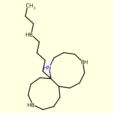 CCCBCCCCC12CCCBCCCC1CCCBCCCN2